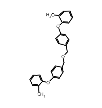 Cc1ccccc1Oc1ccc(COCc2ccc(Oc3ccccc3C)cc2)cc1